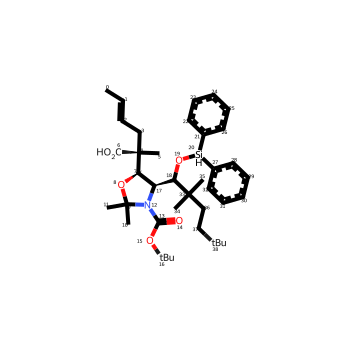 CC=CC[C@@](C)(C(=O)O)[C@@H]1OC(C)(C)N(C(=O)OC(C)(C)C)[C@@H]1C(O[SiH](c1ccccc1)c1ccccc1)C(C)(C)CCC(C)(C)C